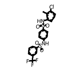 Cc1c(Cl)cccc1NS(=O)(=O)c1ccc(NS(=O)(=O)c2cccc(C(F)(F)F)c2)cc1